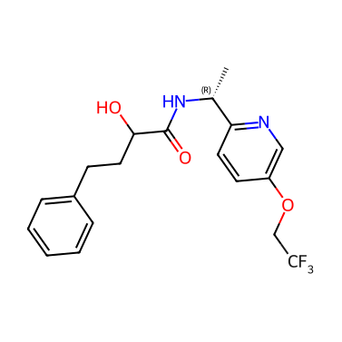 C[C@@H](NC(=O)C(O)CCc1ccccc1)c1ccc(OCC(F)(F)F)cn1